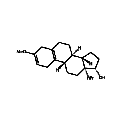 CCC[C@]12CC[C@@H]3C4=C(CC[C@H]3[C@@H]1CC[C@@H]2O)CC(OC)=CC4